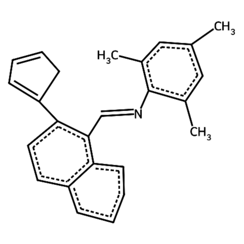 Cc1cc(C)c(N=Cc2c(C3=CC=CC3)ccc3ccccc23)c(C)c1